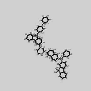 CC1(C)c2ccccc2-c2ccc(N(c3ccccc3)c3ccc4cc(C5=CC(c6ccc7c(c6)c6ccccc6n7-c6ccc(-c7ccccc7)cc6)=CCC5)ccc4c3)cc21